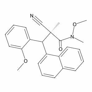 COc1ccccc1C(c1cccc2ccccc12)[C@@](C)(C#N)C(=O)N(C)OC